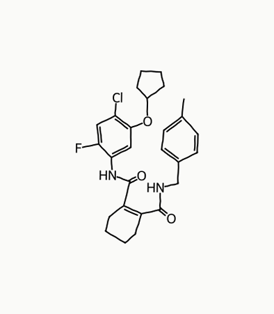 Cc1ccc(CNC(=O)C2=C(C(=O)Nc3cc(OC4CCCC4)c(Cl)cc3F)CCCC2)cc1